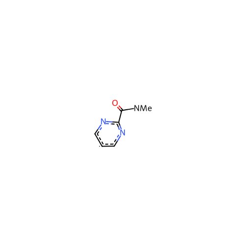 CNC(=O)c1nc[c]cn1